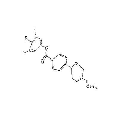 C=CC1=CCC(c2ccc(C(=O)Oc3cc(F)c(F)c(F)c3)cc2)OC1